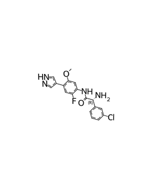 COc1cc(NC(=O)[C@H](N)c2cccc(Cl)c2)c(F)cc1-c1cn[nH]c1